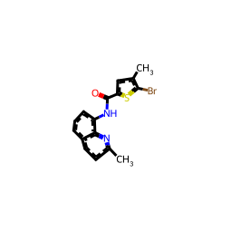 Cc1ccc2cccc(NC(=O)c3cc(C)c(Br)s3)c2n1